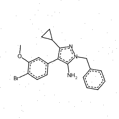 COc1cc(-c2c(C3CC3)nn(Cc3ccccc3)c2N)ccc1Br